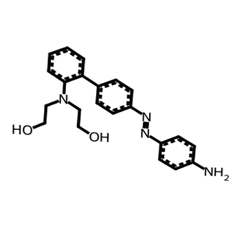 Nc1ccc(/N=N/c2ccc(-c3ccccc3N(CCO)CCO)cc2)cc1